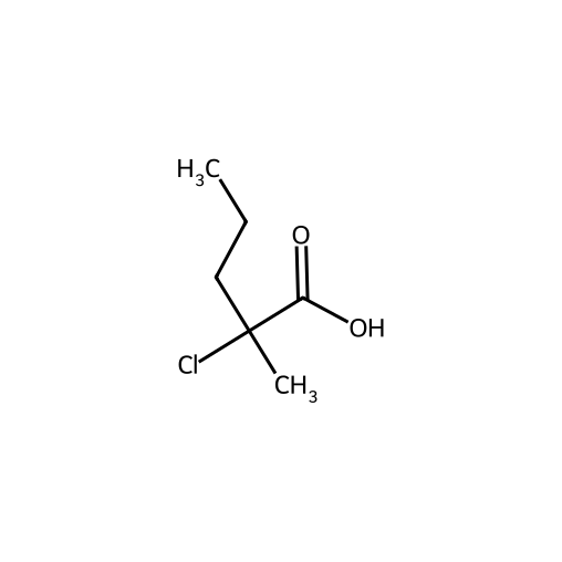 CCCC(C)(Cl)C(=O)O